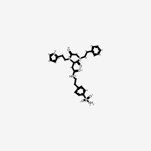 NS(=O)(=O)c1ccc(CCNC(=O)CC2C(=O)N(CCc3ccccc3)CC(=O)N2CCc2cccs2)cc1